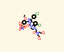 CCOc1cc(OC)c(S(=O)(=O)N(C)OC)cc1C1=N[C@@H](c2ccc(Cl)cc2)[C@@H](c2ccc(Cl)cc2)N1C(=O)N1CCN(CC(=O)N(CCOC)CCOC)CC1